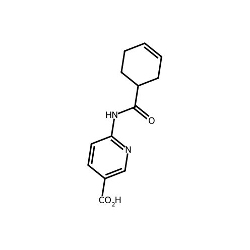 O=C(O)c1ccc(NC(=O)C2CC=CCC2)nc1